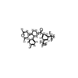 Cc1ccc(C2CN(C(=O)c3cc(C(F)(F)F)cc(C(F)(F)F)c3)CCC2N2CC(C)OC(C)C2)cc1